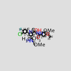 COCCNC(C)(C)c1cc(-c2ccc(F)c(Cl)c2)nc(C(O)(CNC(=O)c2ccc(OC3CC3)c(OC)c2)C(F)(F)F)c1